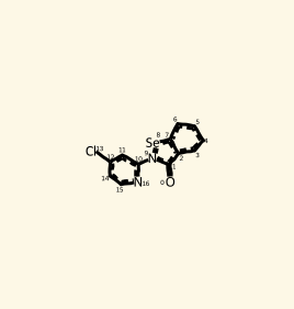 O=c1c2ccccc2[se]n1-c1cc(Cl)ccn1